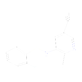 C#Cc1cnc(C)c(NSc2ccccc2F)c1